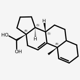 C[C@]12C=CCCC1CC[C@@H]1C2=CC[C@]2(C(O)O)CCC[C@@H]12